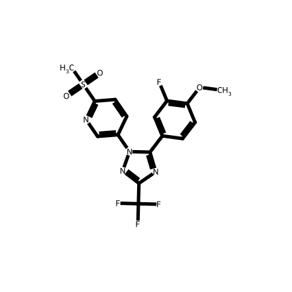 COc1ccc(-c2nc(C(F)(F)F)nn2-c2ccc(S(C)(=O)=O)nc2)cc1F